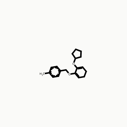 Cc1ccc(COC2=CC[CH]C=C2OC2CCCC2)cc1